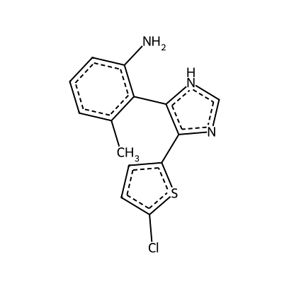 Cc1cccc(N)c1-c1[nH]cnc1-c1ccc(Cl)s1